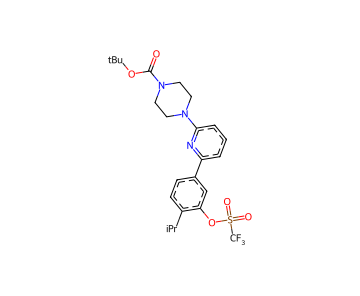 CC(C)c1ccc(-c2cccc(N3CCN(C(=O)OC(C)(C)C)CC3)n2)cc1OS(=O)(=O)C(F)(F)F